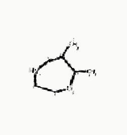 CC1CNCCOC1C